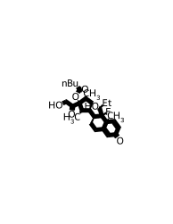 CCCCC(=O)O[C@@]1(C(=O)CO)[C@H](C)[C@H]([C@@H]2CCC3=CC(=O)C=C[C@]3(C)[C@@]2(F)[C@@H](O)CC)C[C@@H]1C